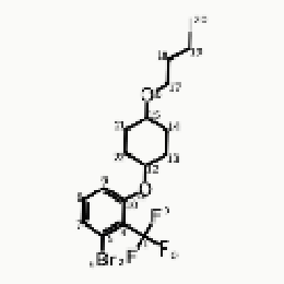 FC(F)(F)c1c(Br)cccc1OC1CCC(OCCCI)CC1